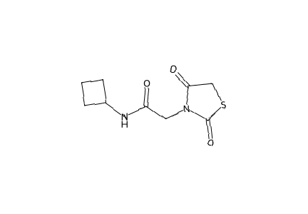 O=C(CN1C(=O)CSC1=O)NC1CCC1